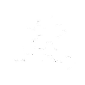 CC(C)(C)NC(=O)C(=O)[C@H](C[C@@H]1CCNC1=O)NC(=O)[C@H](Cc1ccccc1)NC(=O)c1cncc(F)c1